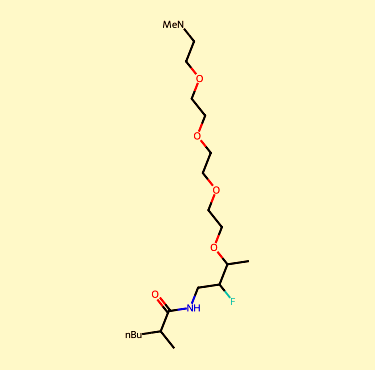 CCCCC(C)C(=O)NCC(F)C(C)OCCOCCOCCOCCNC